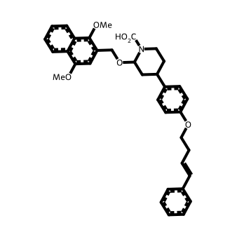 COc1cc(COC2CC(c3ccc(OCCC=Cc4ccccc4)cc3)CCN2C(=O)O)c(OC)c2ccccc12